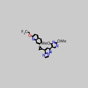 COc1ncc(-c2cc(C3C[C@@H]3c3ccc4ccc(OCC(F)(F)F)nc4c3)c3nccn3n2)c(OC)n1